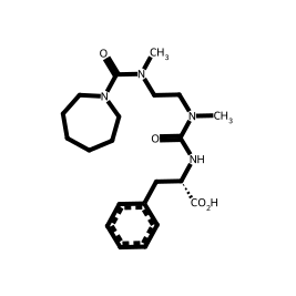 CN(CCN(C)C(=O)N1CCCCCC1)C(=O)N[C@@H](Cc1ccccc1)C(=O)O